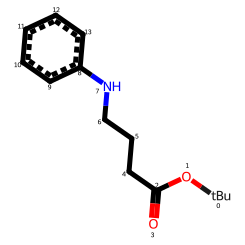 CC(C)(C)OC(=O)CCCNc1ccccc1